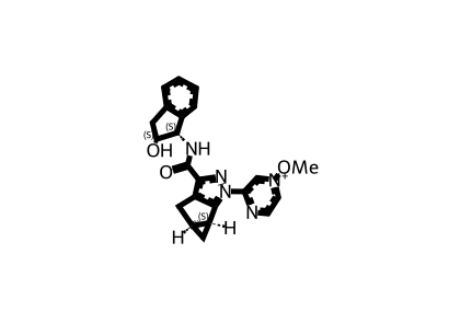 CO[n+]1ccnc(-n2nc(C(=O)N[C@H]3c4ccccc4C[C@@H]3O)c3c2[C@H]2C[C@H]2C3)c1